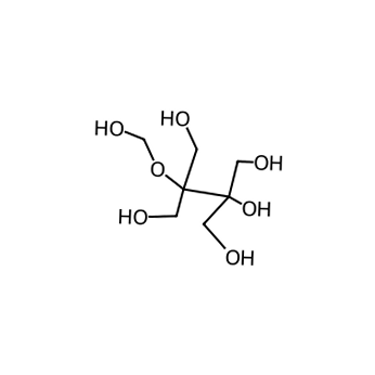 OCOC(CO)(CO)C(O)(CO)CO